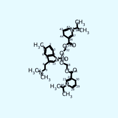 Cc1ccc2c(c1)c(CCN(C)C)cn2P(=O)(OCOC(=O)C1=CN(C(C)C)C=CC1)OCOC(=O)C1=CN(C(C)C)C=CC1